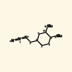 CC(C)(C)C1CCC(CN=[N+]=[N-])CC1C(C)(C)C